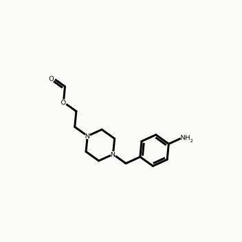 Nc1ccc(CN2CCN(CCOC=O)CC2)cc1